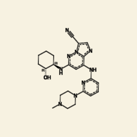 CN1CCN(c2cccc(Nc3cc(N[C@@H]4CCCC[C@H]4O)nn4c(C#N)cnc34)n2)CC1